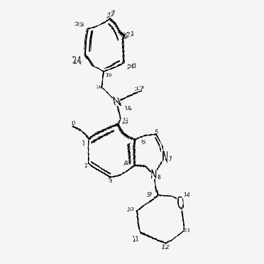 Cc1ccc2c(cnn2C2CCCCO2)c1N(C)Cc1ccccc1